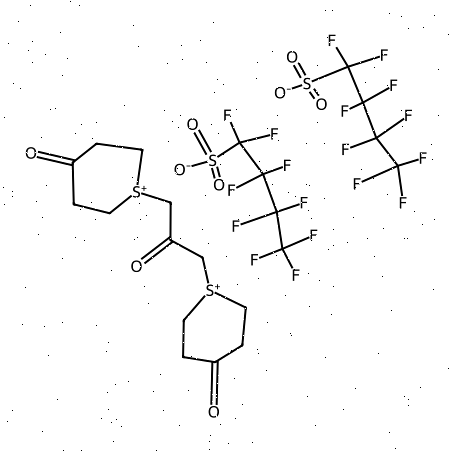 O=C1CC[S+](CC(=O)C[S+]2CCC(=O)CC2)CC1.O=S(=O)([O-])C(F)(F)C(F)(F)C(F)(F)C(F)(F)F.O=S(=O)([O-])C(F)(F)C(F)(F)C(F)(F)C(F)(F)F